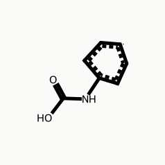 O=C(O)Nc1cc[c]cc1